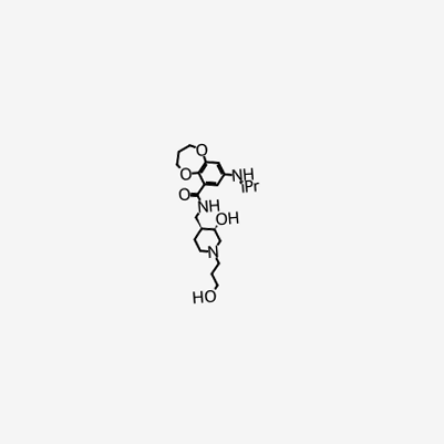 CC(C)Nc1cc2c(c(C(=O)NC[C@@H]3CCN(CCCO)C[C@H]3O)c1)OCCCO2